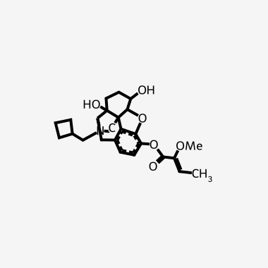 C/C=C(\OC)C(=O)Oc1ccc2c3c1OC1C(O)CCC4(O)C(C2)N(CC2CCC2)CCC314